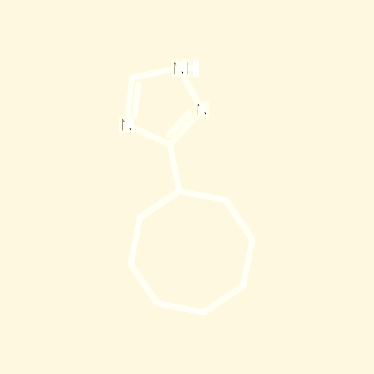 c1nc(C2CCCCCCC2)n[nH]1